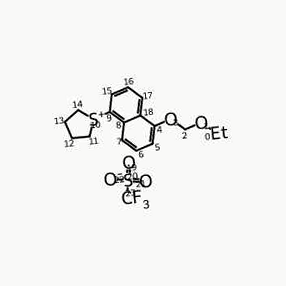 CCOCOc1cccc2c([S+]3CCCC3)cccc12.O=S(=O)([O-])C(F)(F)F